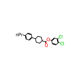 CCCc1ccc(C2CCC(C(=O)Oc3ccc(Cl)c(Cl)c3)CC2)cc1